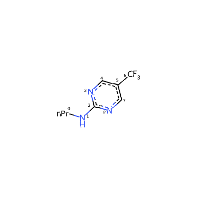 CCCNc1ncc(C(F)(F)F)cn1